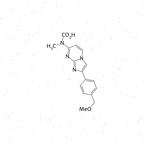 COCc1ccc(-c2cn3ccc(N(C)C(=O)O)nc3n2)cc1